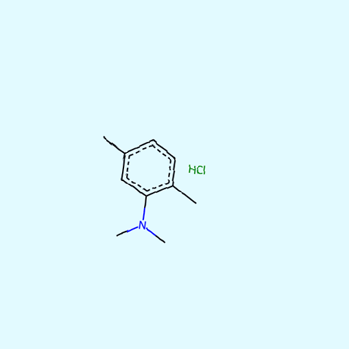 Cc1ccc(C)c(N(C)C)c1.Cl